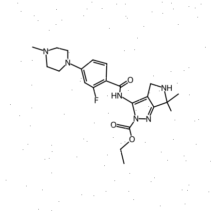 CCOC(=O)n1nc2c(c1NC(=O)c1ccc(N3CCN(C)CC3)cc1F)CNC2(C)C